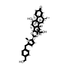 Cn1c(Cc2ccc(CO)cc2)ccc1[C@@H]1O[C@@H]2C[C@H]3[C@@H]4C[C@H](F)C5=CC(=O)C=C[C@]5(C)[C@@]4(F)[C@@H](O)C[C@]3(C)[C@]2(C(=O)CO)O1